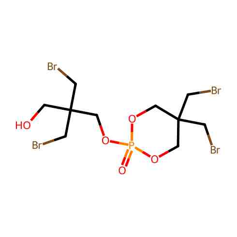 O=P1(OCC(CO)(CBr)CBr)OCC(CBr)(CBr)CO1